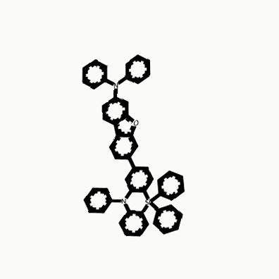 c1ccc(N(c2ccccc2)c2ccc3c(c2)oc2cc(-c4ccc5c(c4)N(c4ccccc4)c4ccccc4[Si]5(c4ccccc4)c4ccccc4)ccc23)cc1